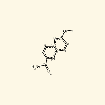 COc1ccc2nc(C(N)=O)ccc2c1